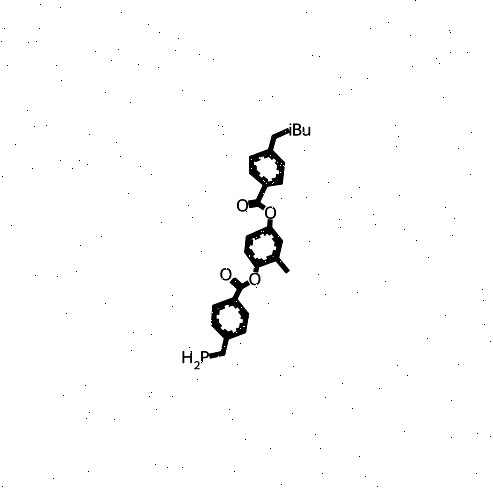 CCC(C)Cc1ccc(C(=O)Oc2ccc(OC(=O)c3ccc(CP)cc3)c(C)c2)cc1